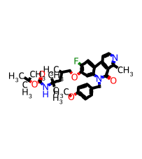 COc1ccc(Cn2c(=O)c3c(C)nccc3c3cc(F)c(OCC(C)CC(C)(C)NC(=O)OC(C)(C)C)cc32)cc1